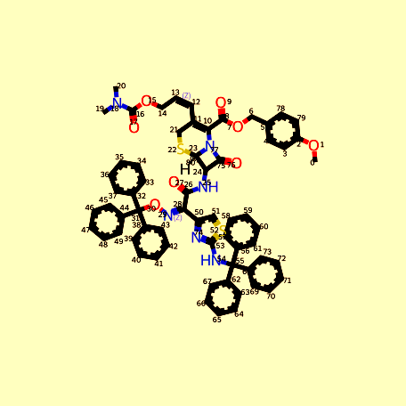 COc1ccc(COC(=O)C2=C(/C=C\COC(=O)N(C)C)CS[C@@H]3C(NC(=O)/C(=N\OC(c4ccccc4)(c4ccccc4)c4ccccc4)c4csc(NC(c5ccccc5)(c5ccccc5)c5ccccc5)n4)C(=O)N23)cc1